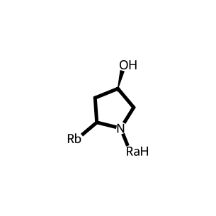 O[C@@H]1C[CH]([Rb])[N]([RaH])C1